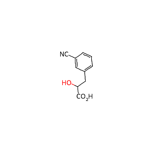 N#Cc1cccc(CC(O)C(=O)O)c1